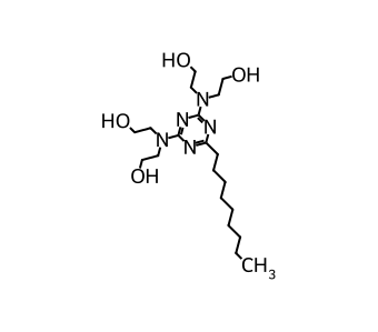 CCCCCCCCCc1nc(N(CCO)CCO)nc(N(CCO)CCO)n1